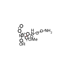 COc1ccc(-c2c(-c3ccc(O)c(C)c3)nc(-c3ccc4c(c3)-c3ccccc3C4)n2Cc2ccc(C(=O)NCCOCCOCCN)cc2)cc1C